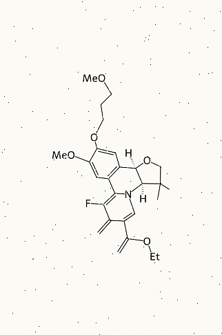 C=C(OCC)C1=CN2C(=C(F)C1=C)c1cc(OC)c(OCCCOC)cc1[C@H]1OCC(C)(C)[C@H]12